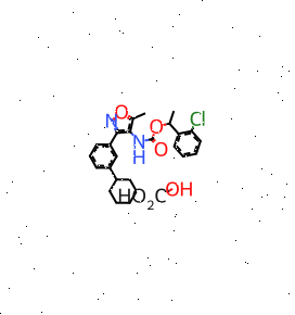 Cc1onc(-c2cccc(C3CCCCC3)c2)c1NC(=O)OC(C)c1ccccc1Cl.O=C(O)O